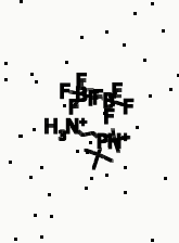 CC(C)(C)[PH+](CC[NH3+])C(C)(C)C.F[B-](F)(F)F.F[B-](F)(F)F